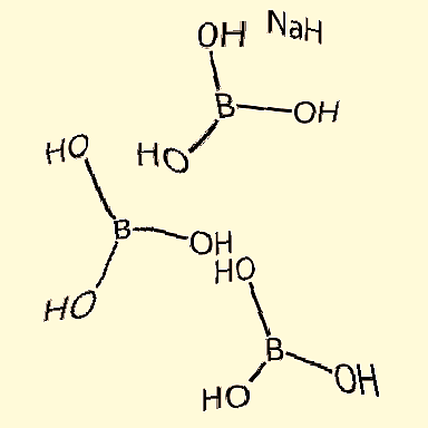 OB(O)O.OB(O)O.OB(O)O.[NaH]